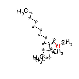 CCCCCCCCCC(=CO[SiH3])C(C)(CC)CC